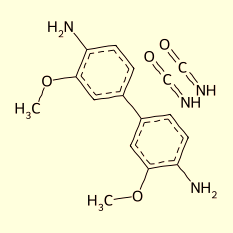 COc1cc(-c2ccc(N)c(OC)c2)ccc1N.N=C=O.N=C=O